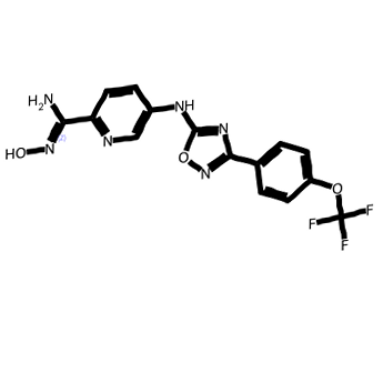 N/C(=N\O)c1ccc(Nc2nc(-c3ccc(OC(F)(F)F)cc3)no2)cn1